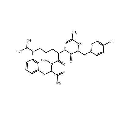 CC(=O)NC(Cc1ccc(O)cc1)C(=O)NC(CCCNC(=N)N)C(=O)N(C)C(Cc1ccccc1)C(N)=O